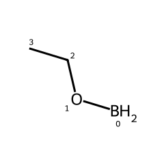 BOCC